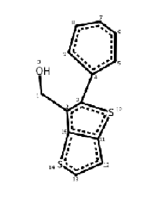 OCc1c(-c2ccccc2)sc2ccsc12